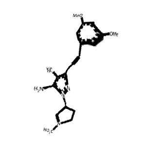 COc1cc(C#Cc2nn([C@H]3CCN(C(=O)O)C3)c(N)c2C#N)cc(OC)c1